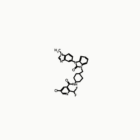 Cn1cnc2cc(-n3c(=O)n(CC4CCC(NC(=O)c5cc(Cl)cnc5C(F)F)CC4)c4ccccc43)ccc21